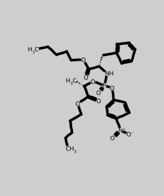 CCCCCOC(=O)[C@H](Cc1ccccc1)NP(=O)(Oc1ccc([N+](=O)[O-])cc1)O[C@@H](C)C(=O)OCCCCC